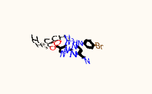 CC(C)(C)OC(=O)c1cnn(-c2nc(C#N)cc(Nc3ccc(Br)cc3)n2)c1N